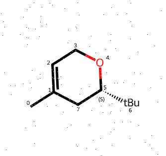 CC1=CCO[C@H](C(C)(C)C)C1